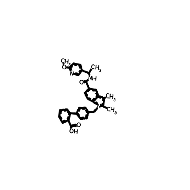 COc1ccc(C(C)NC(=O)c2ccc3c(c2)c(C)c(C)n3Cc2ccc(-c3ccccc3C(=O)O)cc2)cn1